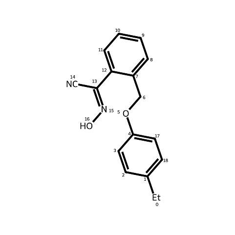 CCc1ccc(OCc2ccccc2C(C#N)=NO)cc1